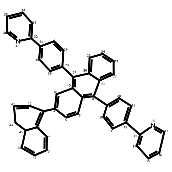 C1=CC2=C(c3ccc4c(-c5ccc(-c6ccccn6)cc5)c5ccccc5c(-c5ccc(-c6ccccn6)cc5)c4c3)C=CCC2C=C1